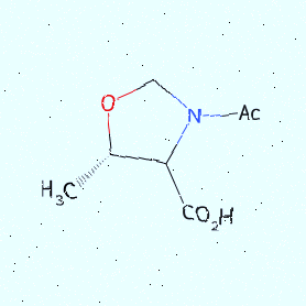 CC(=O)N1CO[C@@H](C)C1C(=O)O